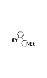 CCN1CCC(C)C(c2ccccc2C(C)C)C1